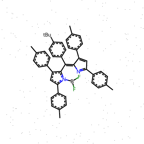 Cc1ccc(C2=CC(c3ccc(C)cc3)=N/C2=C(/c2ccc(C(C)(C)C)cc2)c2c(-c3ccc(C)cc3)cc(-c3ccc(C)cc3)n2B(F)F)cc1